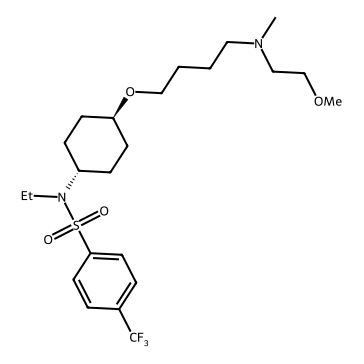 CCN([C@H]1CC[C@H](OCCCCN(C)CCOC)CC1)S(=O)(=O)c1ccc(C(F)(F)F)cc1